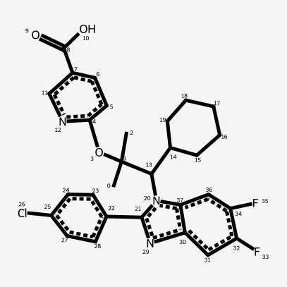 CC(C)(Oc1ccc(C(=O)O)cn1)C(C1CCCCC1)n1c(-c2ccc(Cl)cc2)nc2cc(F)c(F)cc21